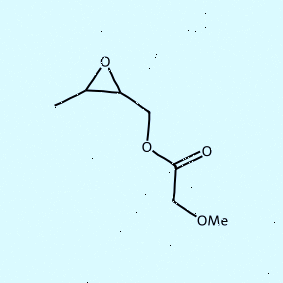 COCC(=O)OCC1OC1C